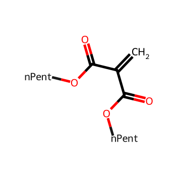 C=C(C(=O)OCCCCC)C(=O)OCCCCC